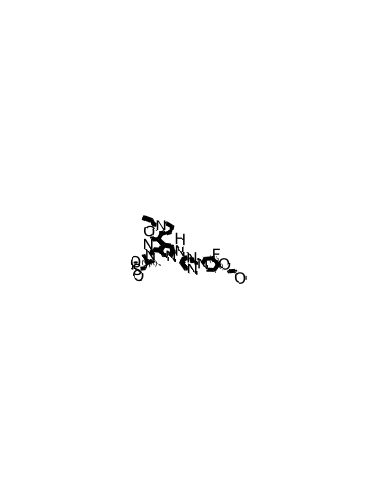 C=CC(=O)N1CCCC1c1cnc(N2C[C@H](CS(C)(=O)=O)[C@H]2C)c2cnc(Nc3ccnc(N4CC[C@@H](OCCOC)[C@@H](F)C4)n3)cc12